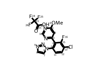 COc1cc(-c2c(-n3ccnn3)ccc(Cl)c2F)ncn1.O=C(O)C(F)(F)F